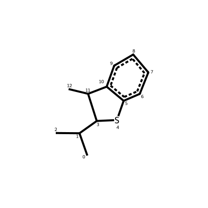 CC(C)C1Sc2ccccc2C1C